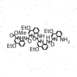 CCOc1cc(C(=O)Nc2cccc3c(OCC)cc(C(=O)Nc4cccc5c(OCC)cc(C(=O)Nc6cccc7c(OCC)cc(C(=O)OC)nc67)nc45)nc23)nc2c(N)cccc12